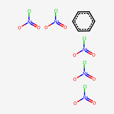 O=[N+]([O-])Cl.O=[N+]([O-])Cl.O=[N+]([O-])Cl.O=[N+]([O-])Cl.O=[N+]([O-])Cl.c1ccccc1